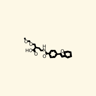 COCOCC(CCNC(=O)c1ccc(-c2cc3ccccc3o2)cc1)C(=O)O